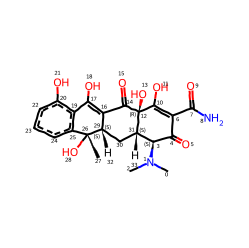 CN(C)[C@@H]1C(=O)C(C(N)=O)=C(O)[C@@]2(O)C(=O)C3=C(O)c4c(O)cccc4[C@@](C)(O)[C@H]3C[C@@H]12